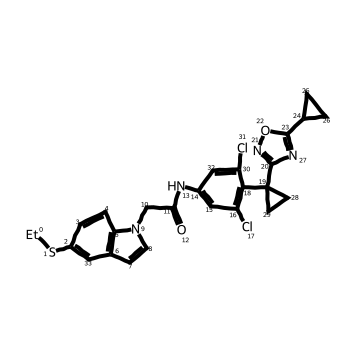 CCSc1ccc2c(ccn2CC(=O)Nc2cc(Cl)c(C3(c4noc(C5CC5)n4)CC3)c(Cl)c2)c1